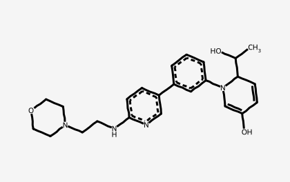 CC(O)C1C=CC(O)=CN1c1cccc(-c2ccc(NCCN3CCOCC3)nc2)c1